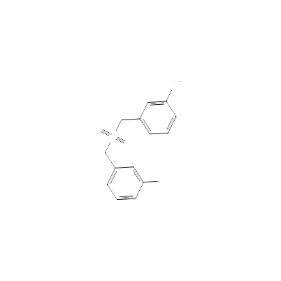 O=S(=O)(Cc1cccc(C(F)(F)F)c1)Cc1cccc(C(F)(F)F)c1